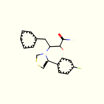 NC(=O)C(O)C(Cc1ccccc1)N1[CH]SC=C1c1ccc(F)cc1